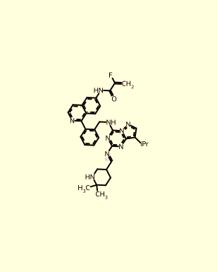 C=C(F)C(=O)Nc1ccc2c(-c3ccccc3CNc3nc(/N=C/C4CCC(C)(C)NC4)nc4c(C(C)C)cnn34)nccc2c1